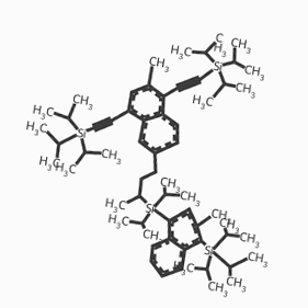 Cc1cc(C#C[Si](C(C)C)(C(C)C)C(C)C)c2cc(CCC(C)[Si](c3cc(C)c([Si](C(C)C)(C(C)C)C(C)C)c4ccccc34)(C(C)C)C(C)C)ccc2c1C#C[Si](C(C)C)(C(C)C)C(C)C